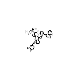 CN(C)C(=O)C[C@@H](NC(=O)c1cccn(Cc2ccc(F)c(F)c2)c1=O)c1ccc(-c2c[nH]c3ncccc23)s1